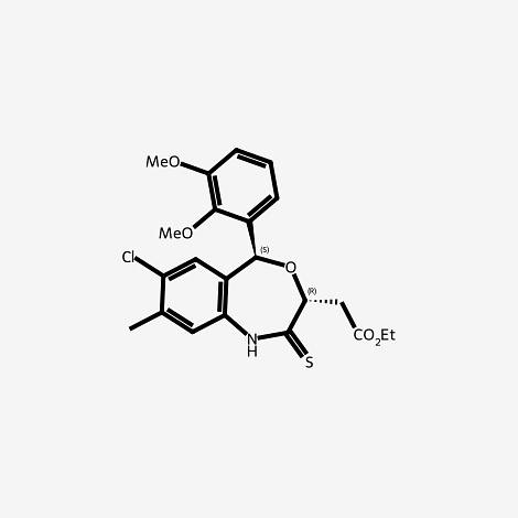 CCOC(=O)C[C@H]1O[C@H](c2cccc(OC)c2OC)c2cc(Cl)c(C)cc2NC1=S